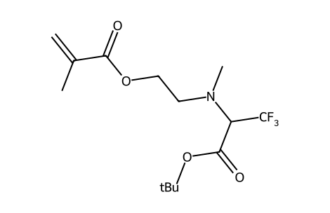 C=C(C)C(=O)OCCN(C)C(C(=O)OC(C)(C)C)C(F)(F)F